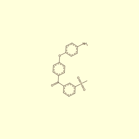 CS(=O)(=O)c1cccc(C(=O)c2ccc(Oc3ccc(N)cc3)cc2)c1